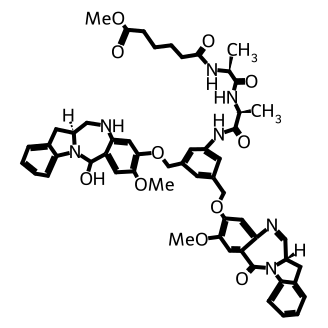 COC(=O)CCCCC(=O)N[C@@H](C)C(=O)N[C@@H](C)C(=O)Nc1cc(COc2cc3c(cc2OC)C(=O)N2c4ccccc4C[C@H]2C=N3)cc(COc2cc3c(cc2OC)C(O)N2c4ccccc4C[C@H]2CN3)c1